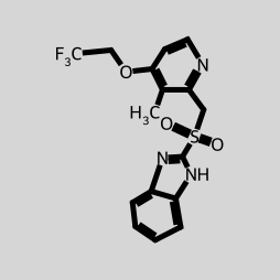 Cc1c(OCC(F)(F)F)ccnc1CS(=O)(=O)c1nc2ccccc2[nH]1